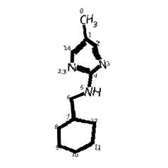 Cc1cnc(NCC2CCCCC2)nc1